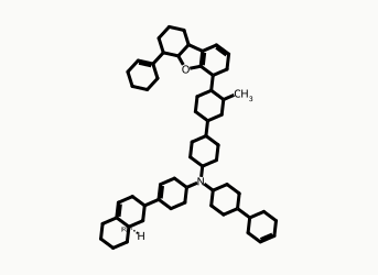 CC1CC(C2CCC(N(C3CC=C(C4CC=C5CCCC[C@@H]5C4)CC3)C3CCC(C4CC=CCC4)CC3)CC2)CCC1C1CC=CC2=C1OC1C(C3=CCCCC3)CCCC21